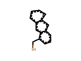 SCc1cccc2cc3ccccc3cc12